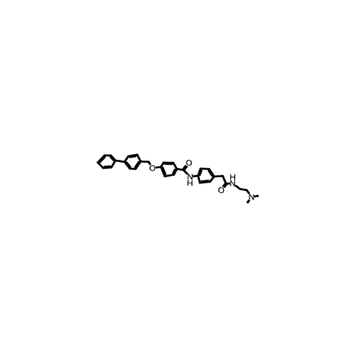 CN(C)CCNC(=O)Cc1ccc(NC(=O)c2ccc(OCc3ccc(-c4ccccc4)cc3)cc2)cc1